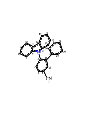 N#Cc1ccc(-n2c3ccccc3c3ccccc32)c(-c2ccccc2)c1